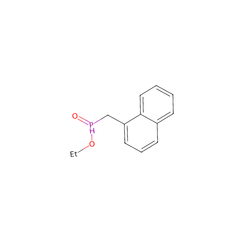 CCO[PH](=O)Cc1cccc2ccccc12